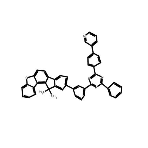 CC1(C)c2cc(-c3cccc(-c4nc(-c5ccccc5)nc(-c5ccc(-c6cccnc6)cc5)n4)c3)ccc2-c2ccc3oc4ccccc4c3c21